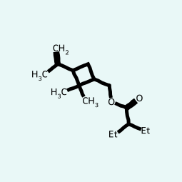 C=C(C)C1CC(COC(=O)C(CC)CC)C1(C)C